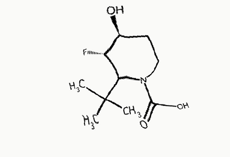 CC(C)(C)C1[C@H](F)[C@@H](O)CCN1C(=O)O